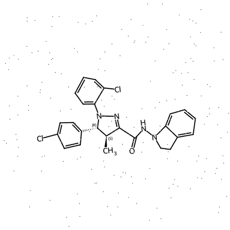 C[C@@H]1C(C(=O)NN2CCc3ccccc32)=NN(c2ccccc2Cl)[C@H]1c1ccc(Cl)cc1